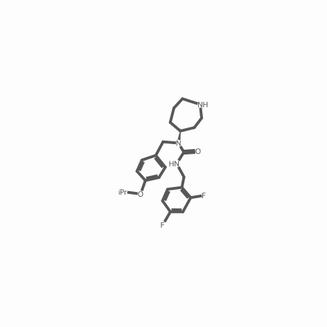 CC(C)Oc1ccc(CN(C(=O)NCc2ccc(F)cc2F)[C@H]2CCCNCC2)cc1